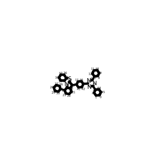 c1ccc(-c2nc(-c3ccccc3)nc(-c3ccc(-c4c5cccc(-c6ccccc6)c5n5c4sc4ccccc45)cc3)n2)cc1